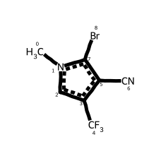 Cn1cc(C(F)(F)F)c(C#N)c1Br